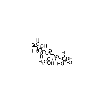 CC(=O)O.O=C[C@H](O)[C@@H](O)[C@H](O)[C@H](O)COC(=O)CCC(=O)OC[C@@H](O)[C@H](O)[C@@H](O)C=O